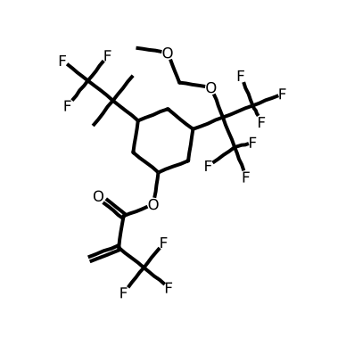 C=C(C(=O)OC1CC(C(C)(C)C(F)(F)F)CC(C(OCOC)(C(F)(F)F)C(F)(F)F)C1)C(F)(F)F